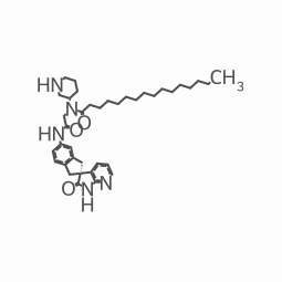 CCCCCCCCCCCCCCCC(=O)N(CC(=O)Nc1ccc2c(c1)C[C@@]1(C2)C(=O)Nc2ncccc21)[C@H]1CCCNC1